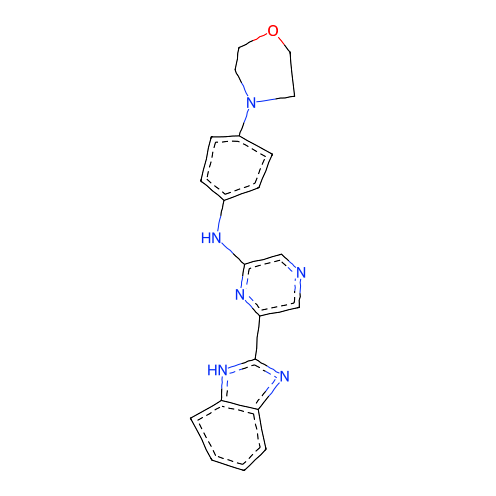 c1ccc2[nH]c(-c3cncc(Nc4ccc(N5CCOCC5)cc4)n3)nc2c1